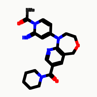 CNC(=O)n1ccc(N2CCOCc3cc(C(=O)N4CCCCC4)cnc32)cc1=N